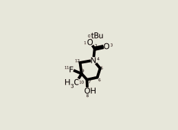 CC(C)(C)OC(=O)N1CCC(O)C(C)(F)C1